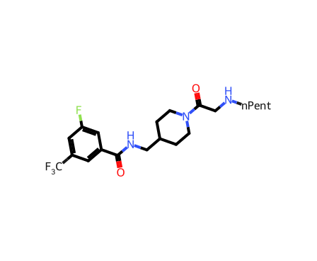 CCCCCNCC(=O)N1CCC(CNC(=O)c2cc(F)cc(C(F)(F)F)c2)CC1